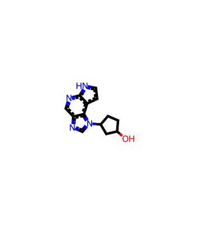 OC1CCC(n2cnc3cnc4[nH]ccc4c32)C1